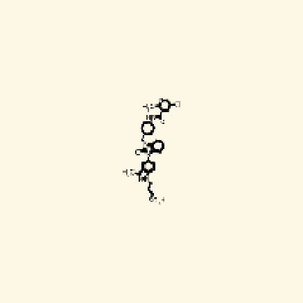 Cc1ncc(Cl)cc1C(=O)N[C@H]1CC[C@H](Cn2c(=O)n(-c3ccc4c(c3)c(C)nn4CCCS(=O)(=O)O)c3ccccc32)CC1